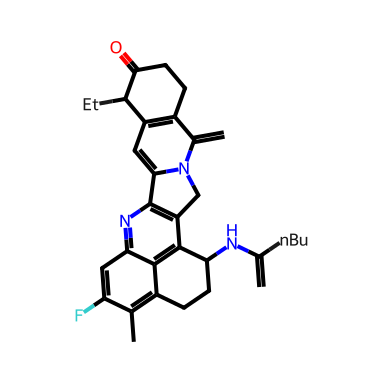 C=C(CCCC)NC1CCc2c(C)c(F)cc3nc4c(c1c23)CN1C(=C)C2=C(C=C41)C(CC)C(=O)CC2